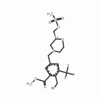 COC(=O)c1cc(CN2CCO[C@H](COS(C)(=O)=O)C2)cc(C(F)(F)F)c1CBr